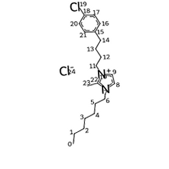 CCCCCCCn1cc[n+](CCCCc2ccc(Cl)cc2)c1C.[Cl-]